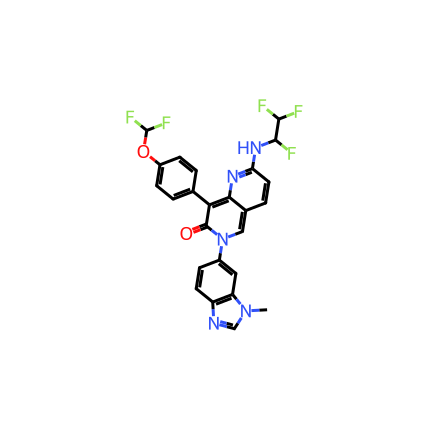 Cn1cnc2ccc(-n3cc4ccc(NC(F)C(F)F)nc4c(-c4ccc(OC(F)F)cc4)c3=O)cc21